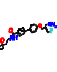 COC1(CCNC(=O)C23CCC(c4ccc(OC/C(=C/F)CN)cc4)(CC2)CC3)CCC1